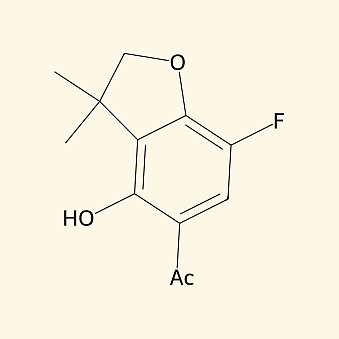 CC(=O)c1cc(F)c2c(c1O)C(C)(C)CO2